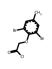 Cc1cc(Br)c(OCC(=O)Cl)c(Br)c1